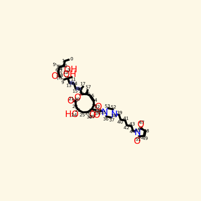 CC[C@H](O)[C@@H](C)[C@@H]1O[C@H]1CC(C)(O)/C=C/C=C(\C)C1OC(=O)CC(O)CCC(C)(OC)C(OC(=O)N2CCN(CCCCCCN3C(=O)C=CC3=O)CC2)C=CC1C